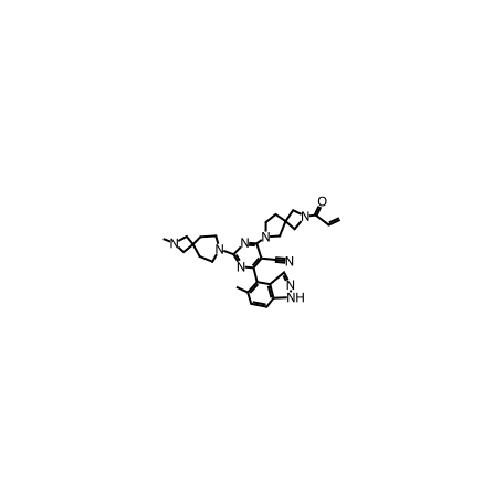 C=CC(=O)N1CC2(CCN(c3nc(N4CCC5(CC4)CN(C)C5)nc(-c4c(C)ccc5[nH]ncc45)c3C#N)C2)C1